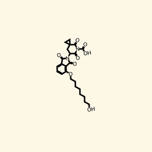 O=C(O)N1C(=O)C(N2C(=O)c3cccc(OCCCCCCCCO)c3C2=O)CC2(CC2)C1=O